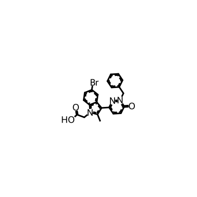 Cc1c(-c2ccc(=O)n(Cc3ccccc3)n2)c2cc(Br)ccc2n1CC(=O)O